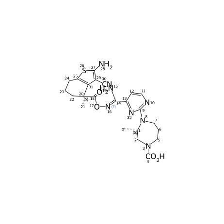 C[C@H]1CN(C(=O)O)CCCN1c1nccc(/C(N)=N/OC(=O)[C@@]2(C)CCCc3sc(N)c(C#N)c32)n1